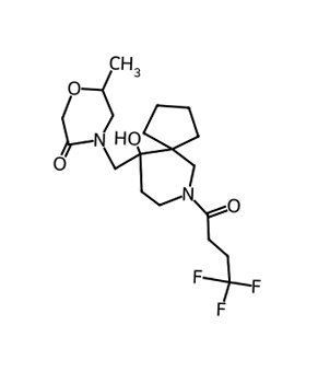 CC1CN(CC2(O)CCN(C(=O)CCC(F)(F)F)CC23CCCC3)C(=O)CO1